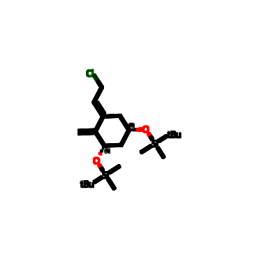 C=C1C(=CCCl)C[C@@H](O[Si](C)(C)C(C)(C)C)C[C@@H]1O[Si](C)(C)C(C)(C)C